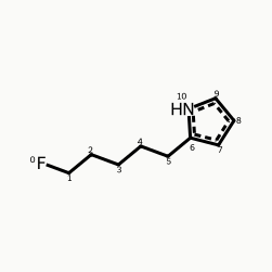 FCCCCCc1ccc[nH]1